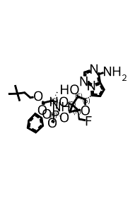 C[C@H](N[P@](=O)(Oc1ccccc1)OC1[C@@]2(CF)O[C@@H](c3ccc4c(N)ncnn34)[C@H](O)[C@@]12O)C(=O)OCCC(C)(C)C